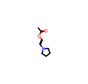 CC(=O)OC=CN1CCCC1